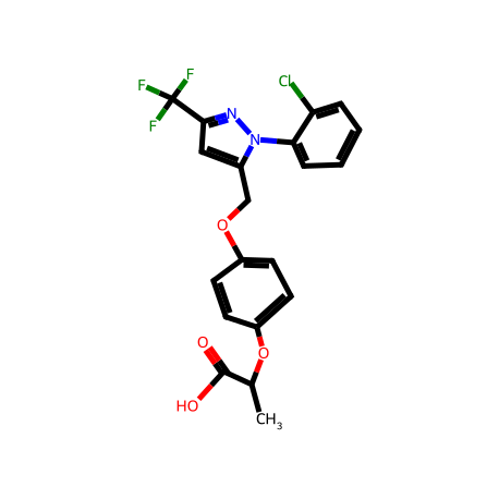 CC(Oc1ccc(OCc2cc(C(F)(F)F)nn2-c2ccccc2Cl)cc1)C(=O)O